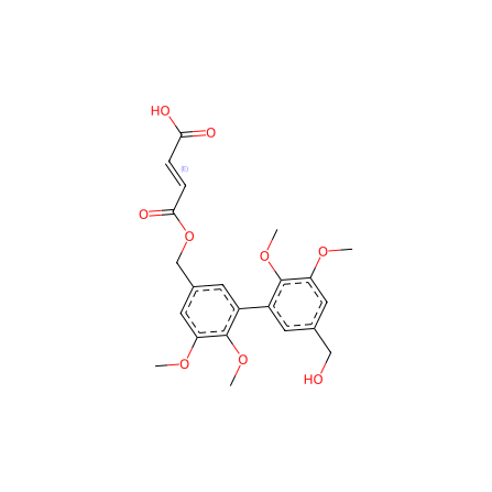 COc1cc(CO)cc(-c2cc(COC(=O)/C=C/C(=O)O)cc(OC)c2OC)c1OC